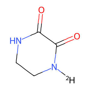 [2H]N1CCNC(=O)C1=O